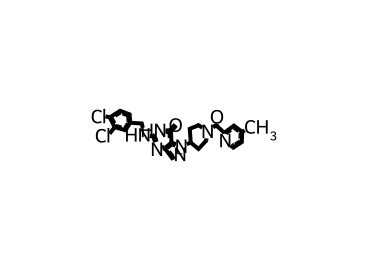 Cc1ccnc(C(=O)N2CCC(n3ncc4nc(NCc5ccc(Cl)c(Cl)c5)[nH]c(=O)c43)CC2)c1